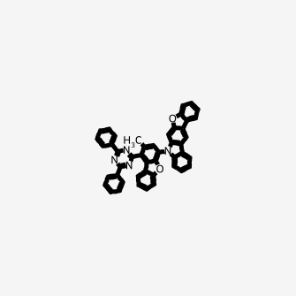 Cc1cc(-n2c3ccccc3c3cc4c(cc32)oc2ccccc24)c2oc3ccccc3c2c1-c1nc(-c2ccccc2)nc(-c2ccccc2)n1